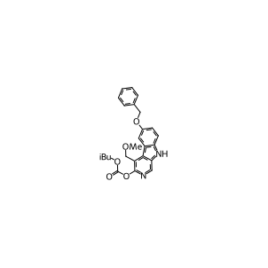 CCC(C)OC(=O)Oc1ncc2[nH]c3ccc(OCc4ccccc4)cc3c2c1COC